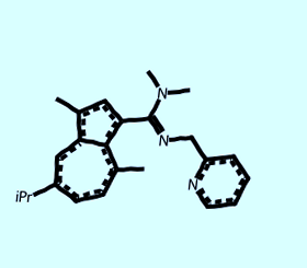 Cc1cc(C(=NCc2ccccn2)N(C)C)c2c(C)ccc(C(C)C)cc1-2